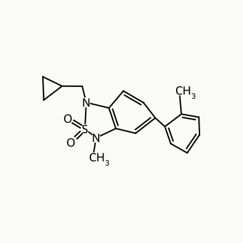 Cc1ccccc1-c1ccc2c(c1)N(C)S(=O)(=O)N2CC1CC1